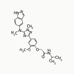 COc1cc(-c2nc(N(C)c3ccc4[nH]ncc4c3)n(C)n2)ccc1OCC(=O)NC(C)C